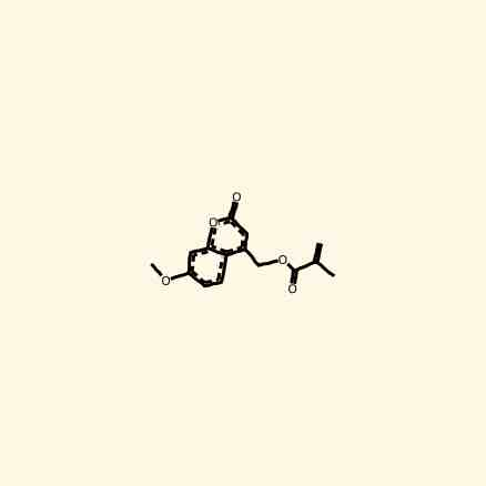 C=C(C)C(=O)OCc1cc(=O)oc2cc(OC)ccc12